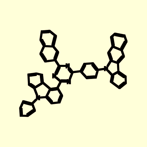 c1ccc(-n2c3ccccc3c3c(-c4nc(-c5ccc(-n6c7ccccc7c7cc8ccccc8cc76)cc5)nc(-c5ccc6ccccc6c5)n4)cccc32)cc1